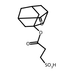 O=C(CCS(=O)(=O)O)OC12CC3CC(C1)C(=O)C(C3)C2